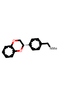 CNCc1ccc([C@H]2COc3ccccc3O2)cc1